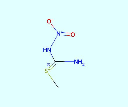 C/[S+]=C(\N)N[N+](=O)[O-]